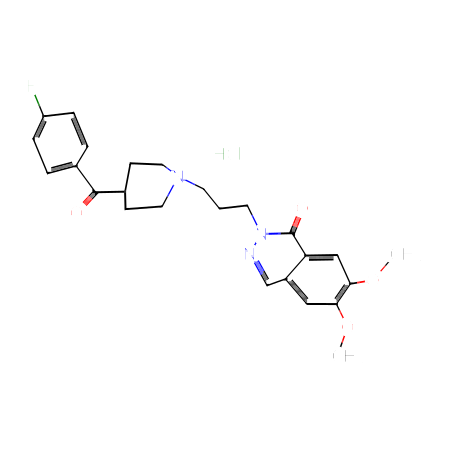 COc1cc2cnn(CCCN3CCC(C(=O)c4ccc(F)cc4)CC3)c(=O)c2cc1OC.Cl